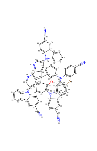 N#Cc1ccc2c(c1)Sc1ccccc1N2c1cccc2c1Oc1c(-n3c4ccccc4c4cc(C#N)ccc43)cccc1C21c2cc(-n3c4ccccc4c4cc(C#N)ccc43)cnc2-c2ncc(-n3c4ccccc4c4cc(C#N)ccc43)cc21